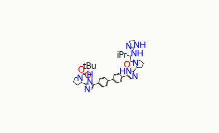 CC(C)[C@@H](NC1=NCCN1)C(=O)N1CCC[C@H]1c1ncc(-c2ccc(-c3ccc(-c4cnc([C@H]5CCCN5C(=O)OC(C)(C)C)[nH]4)cc3)cc2)[nH]1